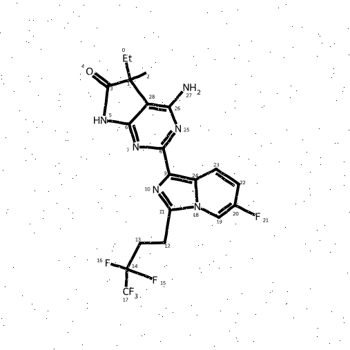 CCC1(C)C(=O)Nc2nc(-c3nc(CCC(F)(F)C(F)(F)F)n4cc(F)ccc34)nc(N)c21